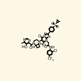 CCc1c(N2CCN(C(=O)c3ncnc(C)c3O)[C@H]3CC[C@@H]32)c(=O)n2nc(-c3ccc(S(=O)(=O)C4CC4)cc3)nc2n1CC(=O)Nc1ccc(C(F)(F)F)cc1Cl